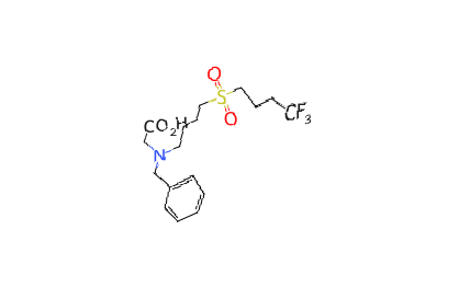 O=C(O)CN(CCCCS(=O)(=O)CCCC(F)(F)F)Cc1ccccc1